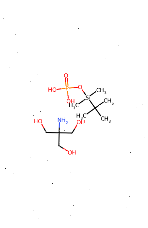 CC(C)(C)[Si](C)(C)OP(=O)(O)O.NC(CO)(CO)CO